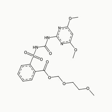 COCCOCOC(=O)c1ccccc1S(=O)(=O)NC(=O)Nc1nc(OC)cc(OC)n1